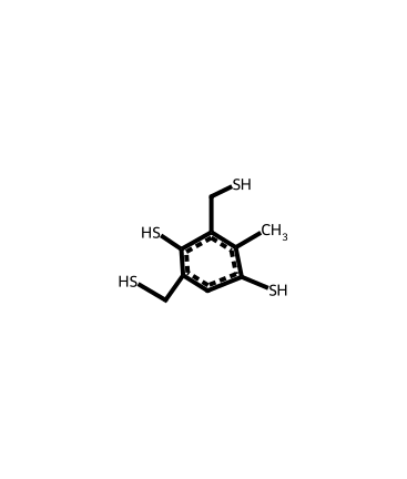 Cc1c(S)cc(CS)c(S)c1CS